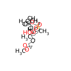 COC(=O)C1(Cc2cccc(C(C)(CCCC(C)(C)CS(=O)(=O)CCO[Si](c3ccccc3)(c3ccccc3)C(C)(C)C)C(=O)O)c2)CC1